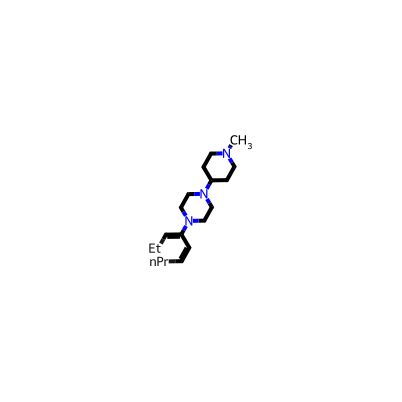 CC/C=C(\C=C/CCC)N1CCN(C2CCN(C)CC2)CC1